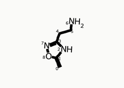 C=C1NC(CCN)=NO1